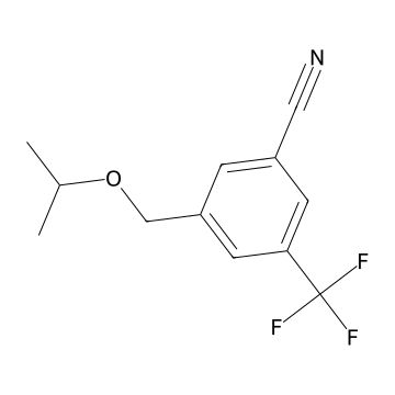 CC(C)OCc1cc(C#N)cc(C(F)(F)F)c1